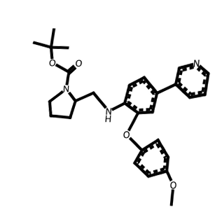 COc1ccc(Oc2cc(-c3cccnc3)ccc2NCC2CCCN2C(=O)OC(C)(C)C)cc1